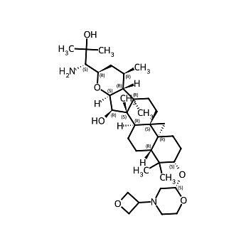 C[C@@H]1C[C@H]([C@H](N)C(C)(C)O)O[C@H]2[C@H]1[C@@]1(C)CC[C@@]34C[C@@]35CC[C@H](O[C@H]3CN(C6COC6)CCO3)C(C)(C)[C@@H]5CC[C@H]4[C@]1(C)[C@H]2O